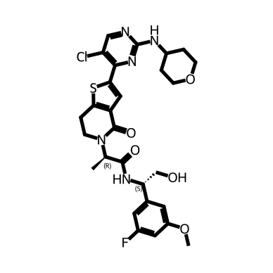 COc1cc(F)cc([C@@H](CO)NC(=O)[C@@H](C)N2CCc3sc(-c4nc(NC5CCOCC5)ncc4Cl)cc3C2=O)c1